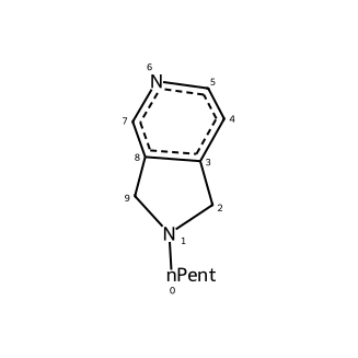 CCCCCN1Cc2ccncc2C1